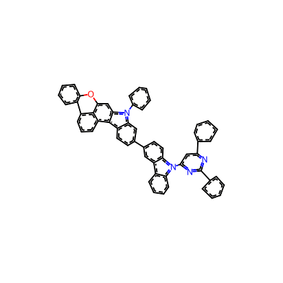 c1ccc(-c2cc(-n3c4ccccc4c4cc(-c5ccc6c7c8cccc9c8c(cc7n(-c7ccccc7)c6c5)Oc5ccccc5-9)ccc43)nc(-c3ccccc3)n2)cc1